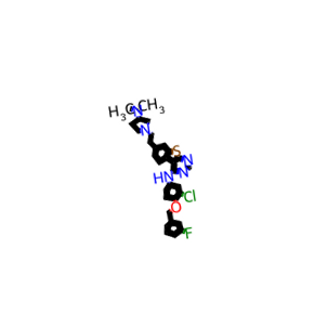 CN(C)C1CCN(CCc2ccc3c(c2)sc2ncnc(Nc4ccc(OCc5cccc(F)c5)c(Cl)c4)c23)C1